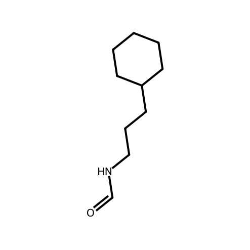 O=CNCCCC1CCCCC1